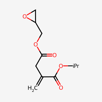 C=C(CC(=O)OCC1CO1)C(=O)OC(C)C